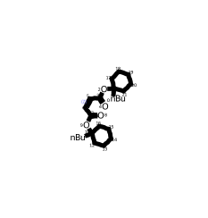 CCCCC1(OC(=O)/C=C\C(=O)OC2(CCCC)CCCCC2)CCCCC1